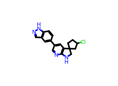 ClC1CCC2(CNc3ncc(-c4ccc5[nH]ncc5c4)cc32)C1